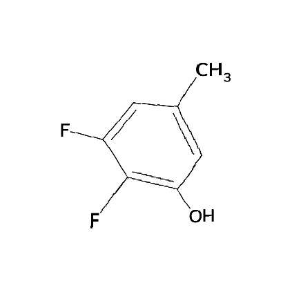 Cc1cc(O)c(F)c(F)c1